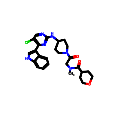 CN(CC(=O)N1CCC(Nc2ncc(Cl)c(-c3c[nH]c4ccccc34)n2)CC1)C(=O)C1CCOCC1